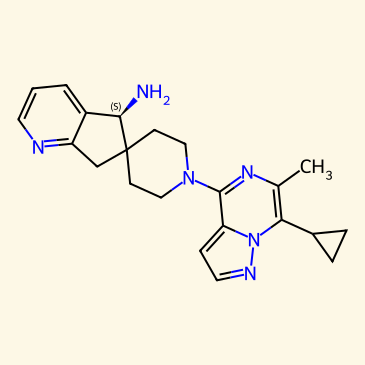 Cc1nc(N2CCC3(CC2)Cc2ncccc2[C@H]3N)c2ccnn2c1C1CC1